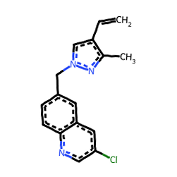 C=Cc1cn(Cc2ccc3ncc(Cl)cc3c2)nc1C